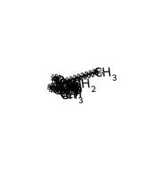 C#C[C@](COP(=O)(N[C@@H](Cc1ccccc1)C(=O)OCCCCCCCCCCCCCCCCCC)Oc1ccccc1)(OC)[C@@H](O)Cn1cnc2c(N)nc(F)nc21